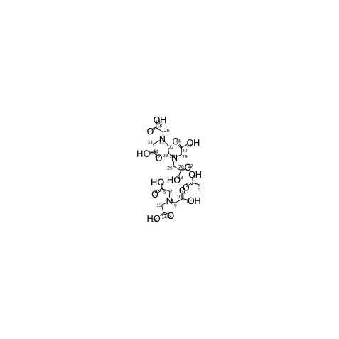 CC(=O)O.O=C(O)CN(CC(=O)O)CC(=O)O.O=C(O)CN(CCN(CC(=O)O)CC(=O)O)CC(=O)O